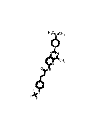 Cc1nc(N2CCC(N(C)C)CC2)nc2ccc(NC(=O)CCc3ccc(OC(F)(F)F)cc3)nc12